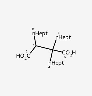 CCCCCCCC(C(=O)O)C(CCCCCCC)(CCCCCCC)C(=O)O